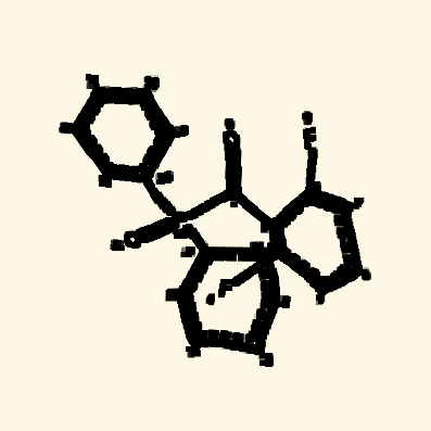 O=C(c1c(F)cccc1F)P(=O)(c1ccccc1)c1ccccc1